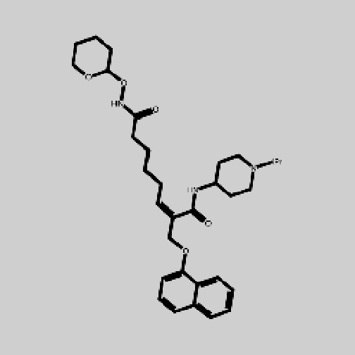 CC(C)N1CCC(NC(=O)C(=CCCCCC(=O)NOC2CCCCO2)COc2cccc3ccccc23)CC1